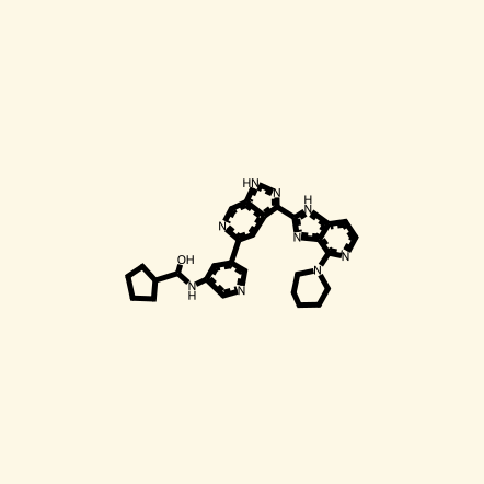 OC(Nc1cncc(-c2cc3c(-c4nc5c(N6CCCCC6)nccc5[nH]4)n[nH]c3cn2)c1)C1CCCC1